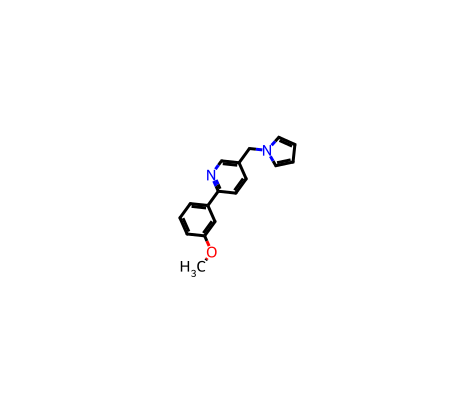 COc1cccc(-c2ccc(Cn3cccc3)cn2)c1